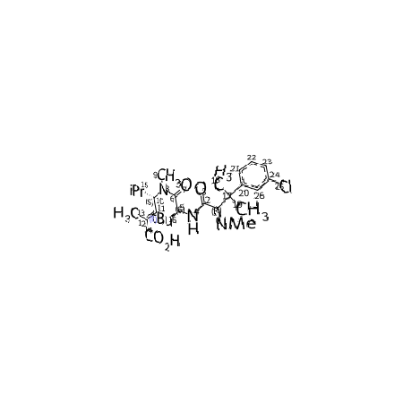 CN[C@@H](C(=O)N[C@H](C(=O)N(C)[C@H](/C=C(\C)C(=O)O)C(C)C)C(C)(C)C)C(C)(C)c1cccc(Cl)c1